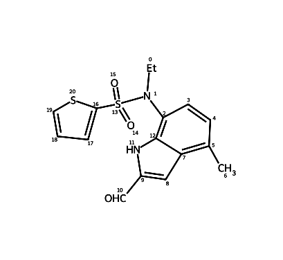 CCN(c1ccc(C)c2cc(C=O)[nH]c12)S(=O)(=O)c1cccs1